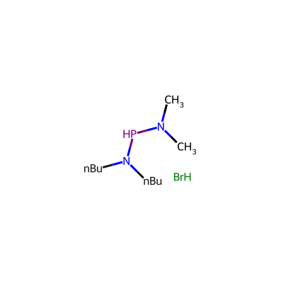 Br.CCCCN(CCCC)PN(C)C